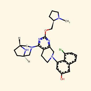 CN1CCC[C@@H]1COc1nc2c(c(N3C[C@H]4CC[C@H](C3)N4)n1)CCN(c1cc(O)cc3cccc(Br)c13)C2